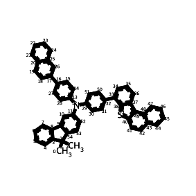 CC1(C)c2ccccc2-c2cc(N(c3ccc(-c4ccc5ccccc5c4)cc3)c3ccc(-c4cccc5c4sc4ccc6ccccc6c45)cc3)ccc21